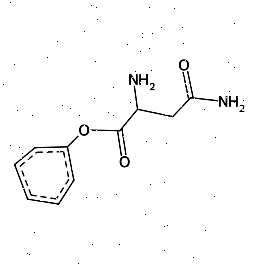 NC(=O)CC(N)C(=O)Oc1ccccc1